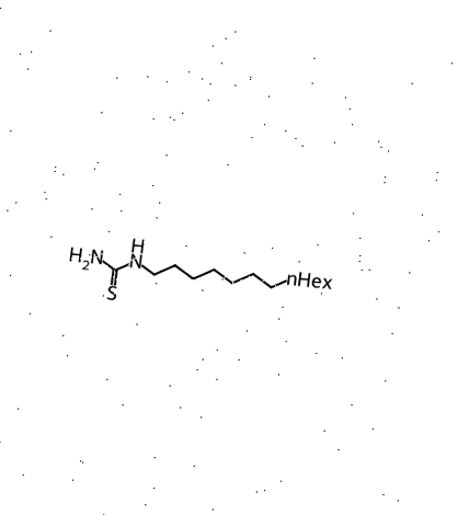 CCCCCCCCCCCCCNC(N)=S